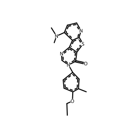 CCOc1ccc(-n2cnc3c(sc4nccc(N(C)C)c43)c2=O)cc1C